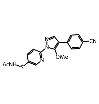 COc1c(-c2ccc(C#N)cc2)cnn1-c1ccc(SNC(C)=O)cn1